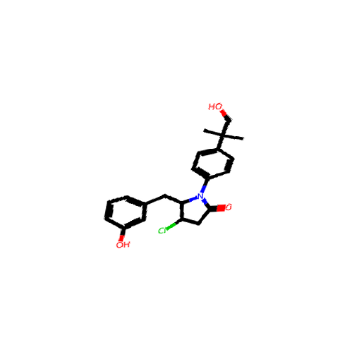 CC(C)(CO)c1ccc(N2C(=O)CC(Cl)C2Cc2cccc(O)c2)cc1